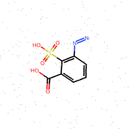 [N]=Nc1cccc(C(=O)O)c1S(=O)(=O)O